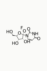 O=c1ccn([C@]2(OF)O[C@H](CO)[C@@H](O)[C@H]2O)c(=O)[nH]1